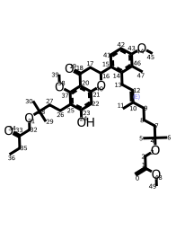 C=C(COC(C)(C)CCC/C(C)=C/Cc1c(C2CC(=O)c3c(cc(O)c(CCC(C)(C)OCC(=O)CC)c3OC)O2)ccc(OC)c1C)OC